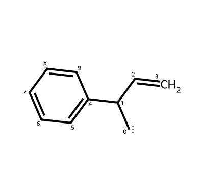 [C]C(C=C)c1ccccc1